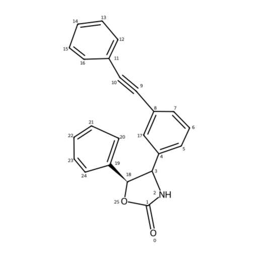 O=C1NC(c2cccc(C#Cc3ccccc3)c2)[C@H](c2ccccc2)O1